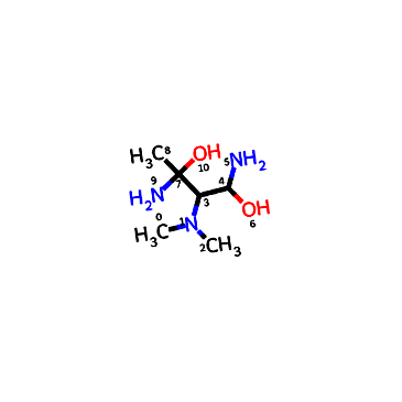 CN(C)C(C(N)O)C(C)(N)O